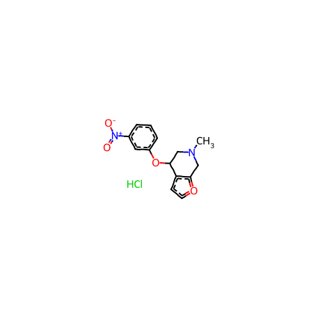 CN1Cc2occc2C(Oc2cccc([N+](=O)[O-])c2)C1.Cl